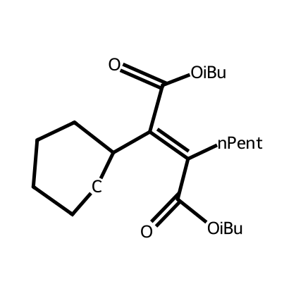 CCCCCC(C(=O)OCC(C)C)=C(C(=O)OCC(C)C)C1CCCCC1